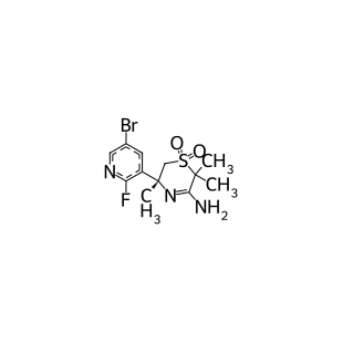 CC1(C)C(N)=N[C@](C)(c2cc(Br)cnc2F)CS1(=O)=O